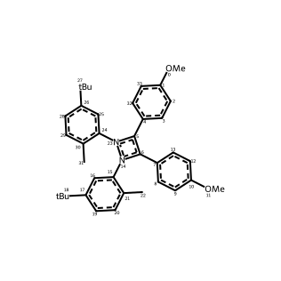 COc1ccc(-c2c(-c3ccc(OC)cc3)n(-c3cc(C(C)(C)C)ccc3C)n2-c2cc(C(C)(C)C)ccc2C)cc1